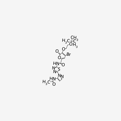 CC(=O)Nc1ccnn1-c1nnc(NC(=O)c2cc(Br)c(OCCOC(C)(C)C)c(=O)o2)s1